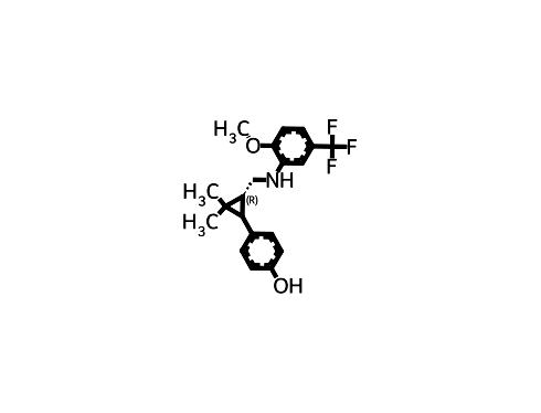 COc1ccc(C(F)(F)F)cc1NC[C@@H]1C(c2ccc(O)cc2)C1(C)C